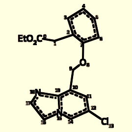 CCOC(=O)Cc1ccccc1OCc1cc(Cl)cn2ccnc12